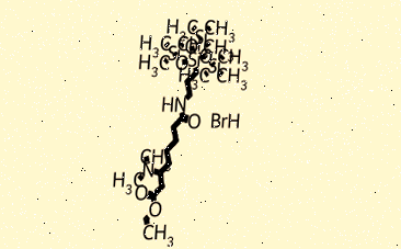 Br.CCOC(=O)CC(CCCCC(=O)NCCC[Si](O[Si](C)(C)C)(O[Si](C)(C)C)O[Si](C)(C)C)N(C)C